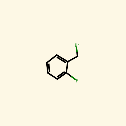 Fc1ccccc1[CH]Br